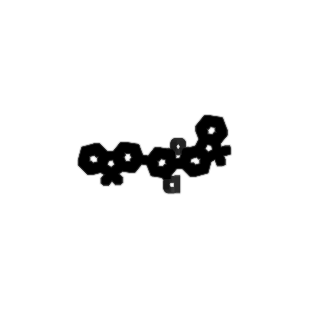 CC1(C)c2ccccc2-c2ccc(-c3cc(Cl)c4c(c3)oc3c5c(ccc34)C(C)(C)c3ccccc3-5)cc21